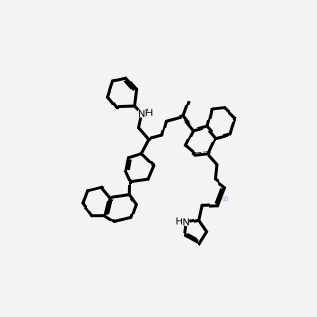 CC(CCC(CNC1C=CCCC1)C1C=CC(C2CCCC3=C2CCCC3)CC1)C1CCC(CC/C=C\CC2CC=CN2)C2CCCCC12